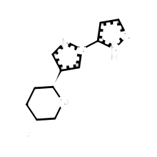 C[C@@H]1CC[C@@H](c2cnn(-c3ccn[nH]3)c2)NC1